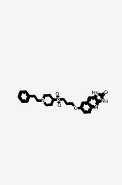 O=c1[nH]c2cc3cc(OCCCS(=O)(=O)C4CCN(CCc5ccccc5)CC4)ccc3nc2[nH]1